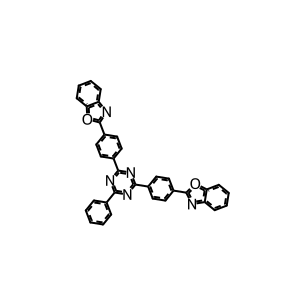 c1ccc(-c2nc(-c3ccc(-c4nc5ccccc5o4)cc3)nc(-c3ccc(-c4nc5ccccc5o4)cc3)n2)cc1